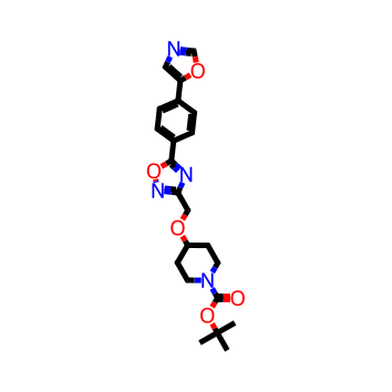 CC(C)(C)OC(=O)N1CCC(OCc2noc(-c3ccc(-c4cnco4)cc3)n2)CC1